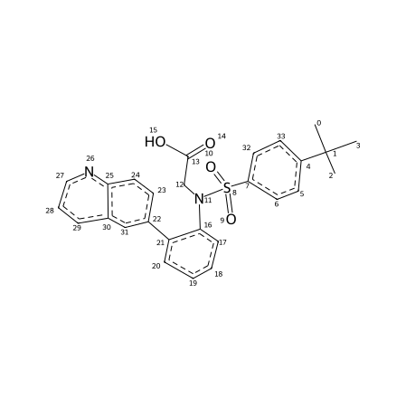 CC(C)(C)c1ccc(S(=O)(=O)N(CC(=O)O)c2ccccc2-c2ccc3ncccc3c2)cc1